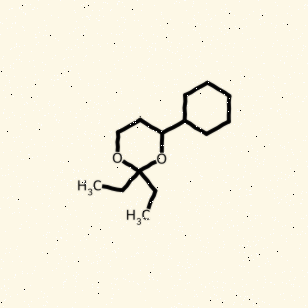 CCC1(CC)OC[CH]C(C2CCCCC2)O1